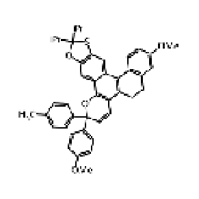 COc1ccc(C2(c3ccc(C)cc3)C=Cc3c4c(c5cc6c(cc5c3O2)OC(C(C)C)(C(C)C)S6)-c2ccc(OC)cc2CC4)cc1